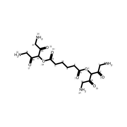 NCC(=O)C(OC(=O)CCCCC(=O)OC(C(=O)CN)C(=O)CN)C(=O)CN